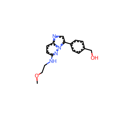 COCCNc1ccc2ncc(-c3ccc(CO)cc3)n2n1